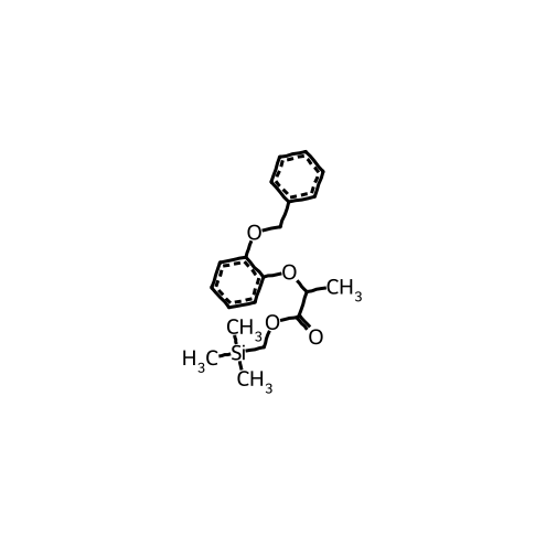 CC(Oc1ccccc1OCc1ccccc1)C(=O)OC[Si](C)(C)C